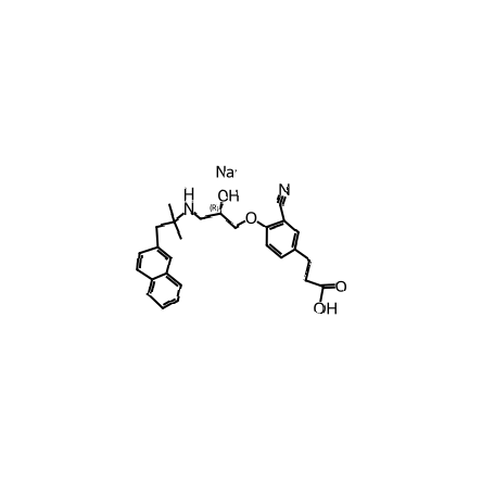 CC(C)(Cc1ccc2ccccc2c1)NC[C@@H](O)COc1ccc(CCC(=O)O)cc1C#N.[Na]